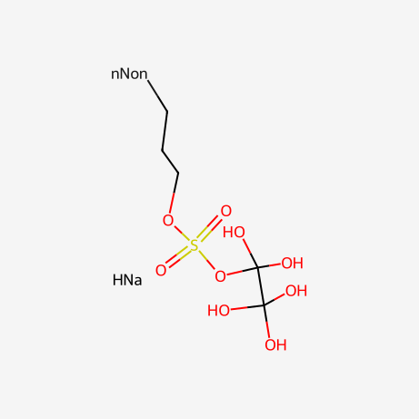 CCCCCCCCCCCCOS(=O)(=O)OC(O)(O)C(O)(O)O.[NaH]